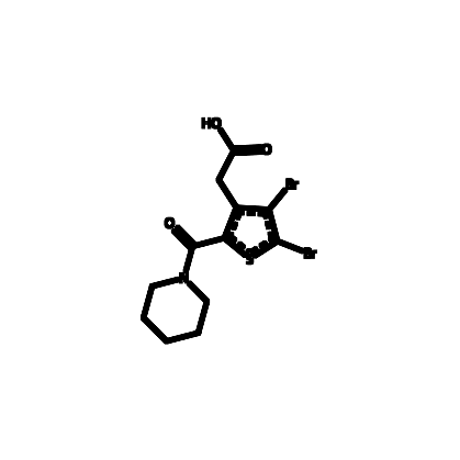 O=C(O)Cc1c(C(=O)N2CCCCC2)sc(Br)c1Br